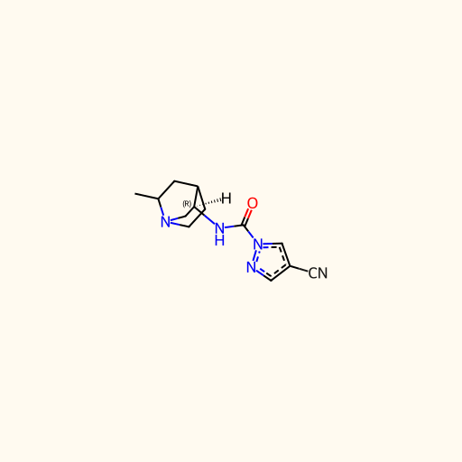 CC1CC2CCN1C[C@@H]2NC(=O)n1cc(C#N)cn1